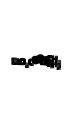 C=NN(C)/C=C(\C)OC1CCC(C(=O)OCC)CC1